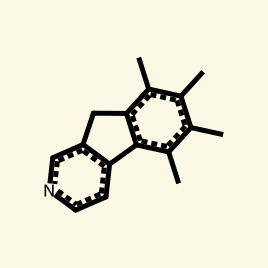 Cc1c(C)c(C)c2c(c1C)Cc1cnccc1-2